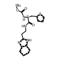 CC(C)(C)OC(=O)N[C@@H](Cc1cccs1)C(=O)NCCc1nc2ccccc2[nH]1